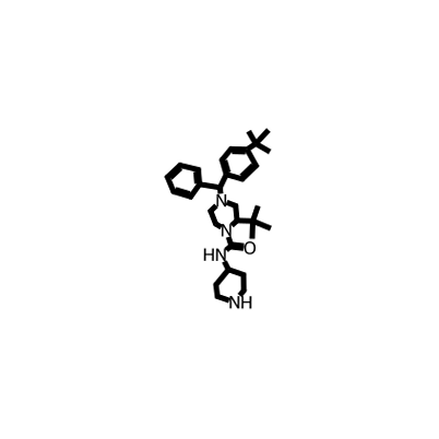 CC(C)(C)c1ccc(C(c2ccccc2)N2CCN(C(=O)NC3CCNCC3)C(C(C)(C)C)C2)cc1